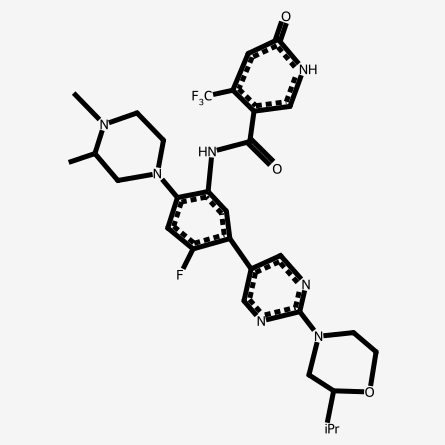 CC(C)C1CN(c2ncc(-c3cc(NC(=O)c4c[nH]c(=O)cc4C(F)(F)F)c(N4CCN(C)C(C)C4)cc3F)cn2)CCO1